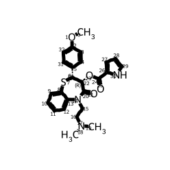 COc1ccc([C@H]2Sc3ccccc3N(CCN(C)C)C(=O)[C@H]2OC(=O)c2ccc[nH]2)cc1